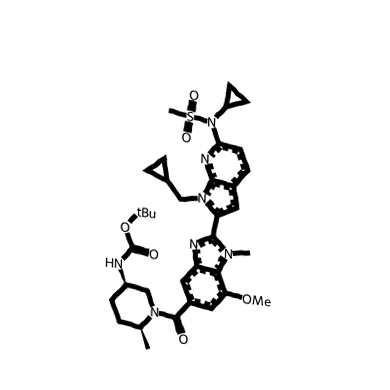 COc1cc(C(=O)N2C[C@H](NC(=O)OC(C)(C)C)CC[C@@H]2C)cc2nc(-c3cc4ccc(N(C5CC5)S(C)(=O)=O)nc4n3CC3CC3)n(C)c12